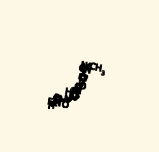 CCc1noc(C2CCN(C(=O)Cn3cc4cc(CNC(=O)c5cccc(C(F)(F)F)n5)ccc4n3)CC2)n1